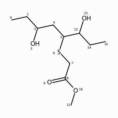 CCC(O)CC(SCC(=O)OC)C(O)CC